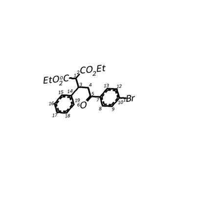 CCOC(=O)C(C(=O)OCC)C(CC(=O)c1ccc(Br)cc1)c1ccccc1